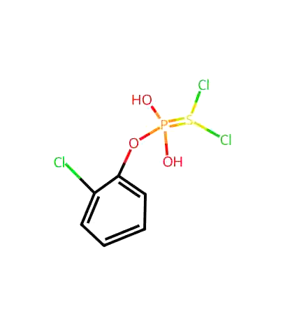 OP(O)(Oc1ccccc1Cl)=S(Cl)Cl